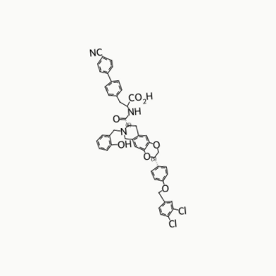 N#Cc1ccc(-c2ccc(CC(NC(=O)[C@@H]3Cc4cc5c(cc4CN3Cc3ccccc3O)O[C@@H](c3ccc(OCc4ccc(Cl)c(Cl)c4)cc3)CO5)C(=O)O)cc2)cc1